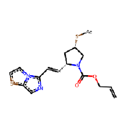 C=CCOC(=O)N1C[C@@H](SC(C)=O)C[C@H]1C=Cc1ncc2sccn12